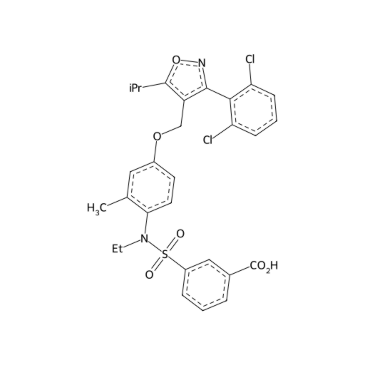 CCN(c1ccc(OCc2c(-c3c(Cl)cccc3Cl)noc2C(C)C)cc1C)S(=O)(=O)c1cccc(C(=O)O)c1